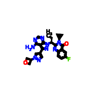 CC[C@@H](c1nc2ccc(F)cc2c(=O)n1C1CC1)n1nc(-c2cnn(C3COC3)c2)c2c(N)ncnc21